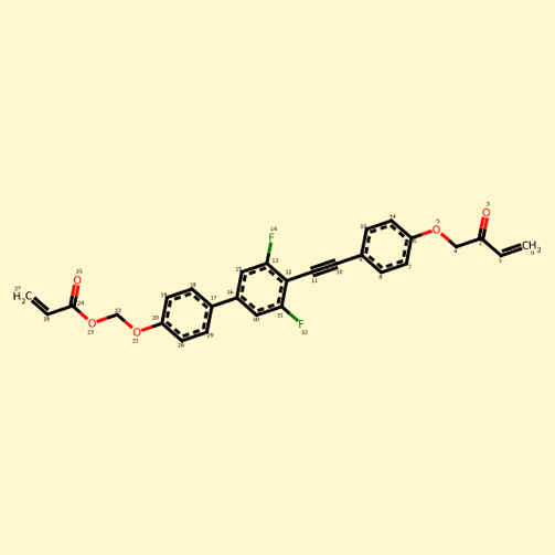 C=CC(=O)COc1ccc(C#Cc2c(F)cc(-c3ccc(OCOC(=O)C=C)cc3)cc2F)cc1